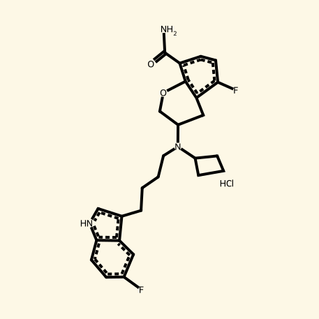 Cl.NC(=O)c1ccc(F)c2c1OCC(N(CCCCc1c[nH]c3ccc(F)cc13)C1CCC1)C2